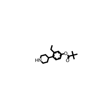 CCc1cc(OC(=O)C(C)(C)C)ccc1C1CCNCC1